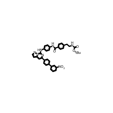 CC(C)(C)OC(=O)NCCc1ccc(C(=O)Nc2ccc(Nc3nc(-c4ccc(-c5cccc([N+](=O)[O-])c5)cc4)cc4ccnn34)cc2)cc1